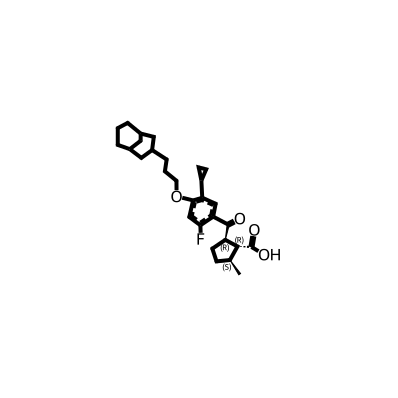 C[C@H]1CC[C@@H](C(=O)c2cc(C3CC3)c(OCCCC3CC4CCCC(C3)C4)cc2F)[C@@H]1C(=O)O